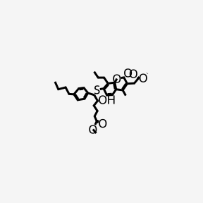 CCCCc1ccc(C(Sc2ccc3c(C)c(CC(=O)OC)c(=O)oc3c2CCC)C(O)CCCC(=O)OC)cc1